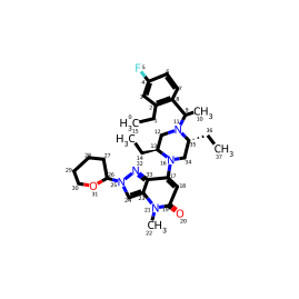 CCc1cc(F)ccc1C(C)N1C[C@H](CC)N(c2cc(=O)n(C)c3cn(C4CCCCO4)nc23)C[C@H]1CC